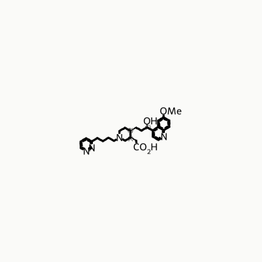 COc1ccc2nccc([C@@H](O)CC[C@@H]3CCN(CCCCc4cccnn4)C[C@@H]3CC(=O)O)c2c1